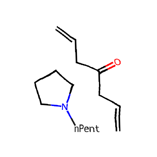 C=CCC(=O)CC=C.CCCCCN1CCCC1